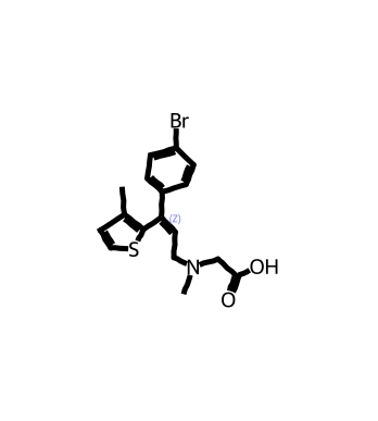 Cc1ccsc1/C(=C\CN(C)CC(=O)O)c1ccc(Br)cc1